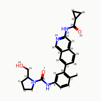 Cc1ccc(NC(=O)N2CCCC2CO)cc1-c1ccc2cc(NC(=O)C3CC3)ncc2c1